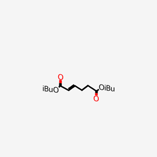 CC(C)COC(=O)C=CCCC(=O)OCC(C)C